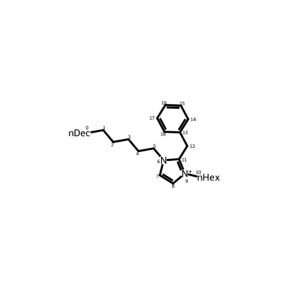 CCCCCCCCCCCCCCCn1cc[n+](CCCCCC)c1Cc1ccccc1